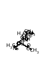 CCOC(=O)CCCOc1cc(-c2scnc2C)ccc1CNC(=O)[C@@H]1CCCN1C(=O)[C@@H](NC(=O)C1(F)CC1)C(C)(C)C